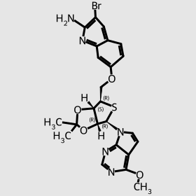 COc1ncnc2c1ccn2[C@@H]1S[C@H](COc2ccc3cc(Br)c(N)nc3c2)[C@H]2OC(C)(C)O[C@H]21